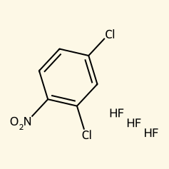 F.F.F.O=[N+]([O-])c1ccc(Cl)cc1Cl